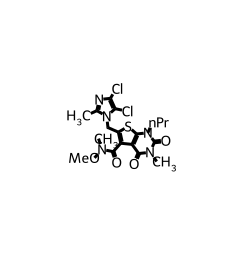 CCCn1c(=O)n(C)c(=O)c2c(C(=O)N(C)OC)c(Cn3c(C)nc(Cl)c3Cl)sc21